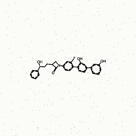 O=C1C(CC[C@H](O)c2ccccc2)CN1c1ccc(-c2ccc(-c3cccc(O)c3)cc2O)c(F)c1